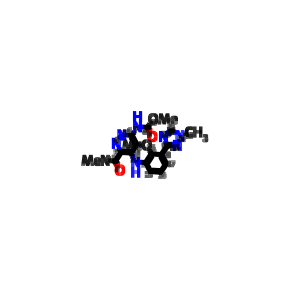 CNC(=O)c1nnc(NC(=O)OC)cc1Nc1cccc(-c2ncn(C)n2)c1OC